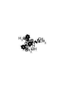 CCN(CC)CCNC(=O)c1ccc(NC(=O)c2ccccc2OC)cc1NC(=O)c1ccccc1OC.Cl